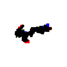 CCc1c(F)ccc2cc(OCOC)cc(-c3ncc4c(N5CCC[C@@](C)(O)C5)cc(OCC5(CN6CCC(CN7CCC(c8cccc9c(C%10CCC(=O)NC%10=O)nn(C)c89)CC7)CC6)CC5)nc4c3F)c12